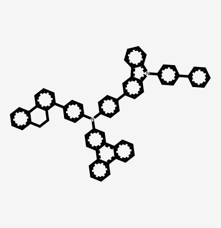 c1ccc(-c2ccc(-n3c4ccccc4c4cc(-c5ccc(N(c6ccc(-c7cccc8c7CCc7ccccc7-8)cc6)c6ccc7c8ccccc8c8ccccc8c7c6)cc5)ccc43)cc2)cc1